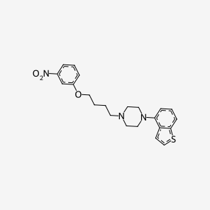 O=[N+]([O-])c1cccc(OCCCCN2CCN(c3cccc4sccc34)CC2)c1